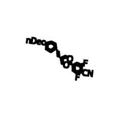 CCCCCCCCCC[C@H]1CC[C@H](CC[C@H]2CO[C@H](c3cc(F)c(C#N)c(F)c3)OC2)CC1